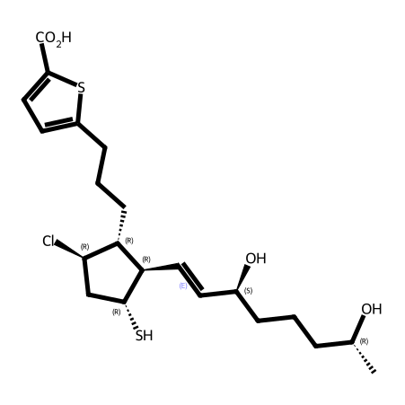 C[C@@H](O)CCC[C@H](O)/C=C/[C@@H]1[C@@H](CCCc2ccc(C(=O)O)s2)[C@H](Cl)C[C@H]1S